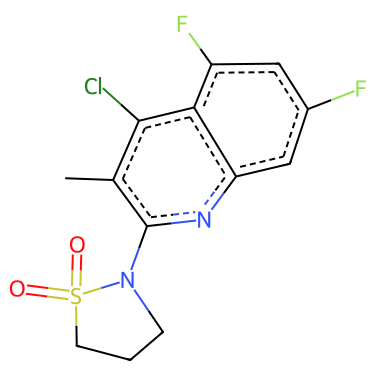 Cc1c(N2CCCS2(=O)=O)nc2cc(F)cc(F)c2c1Cl